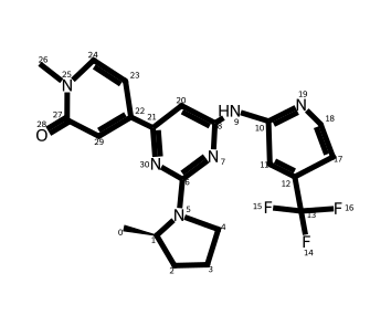 C[C@@H]1CCCN1c1nc(Nc2cc(C(F)(F)F)ccn2)cc(-c2ccn(C)c(=O)c2)n1